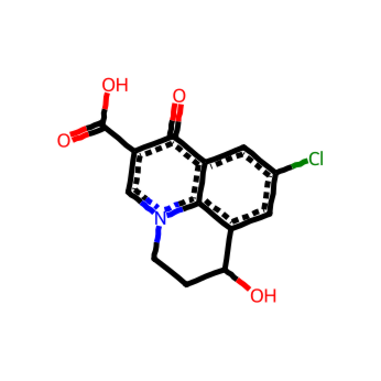 O=C(O)c1cn2c3c(cc(Cl)cc3c1=O)C(O)CC2